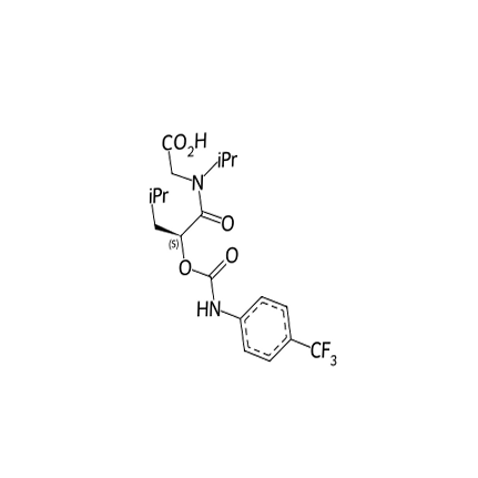 CC(C)C[C@H](OC(=O)Nc1ccc(C(F)(F)F)cc1)C(=O)N(CC(=O)O)C(C)C